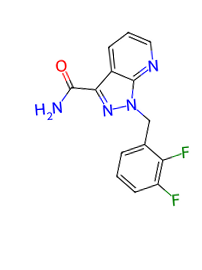 NC(=O)c1nn(Cc2cccc(F)c2F)c2ncccc12